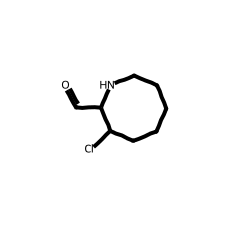 O=CC1NCCCCCC1Cl